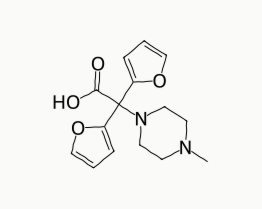 CN1CCN(C(C(=O)O)(c2ccco2)c2ccco2)CC1